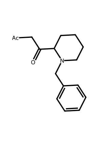 CC(=O)CC(=O)C1CCCCN1Cc1ccccc1